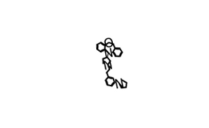 c1cc(CCN2CC[C@@H](N3c4ccccc4COc4ccccc43)C2)cc(N2CCCC2)c1